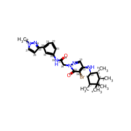 C[C@@H]1[C@@H](C)C(C)(C)[C@@H](C)C[C@H]1Nc1cnn(CC(=O)Nc2cccc(-c3ccn(C)n3)c2)c(=O)c1Br